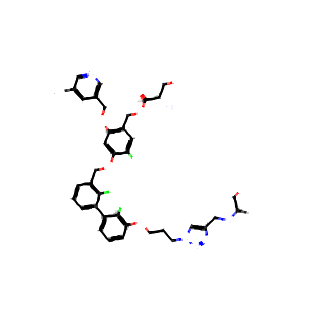 N#Cc1cncc(COc2cc(OCc3cccc(-c4cccc(OCCCn5cc(CNC(CO)C(=O)O)nn5)c4Cl)c3Cl)c(Cl)cc2COC(=O)[C@@H](N)CO)c1